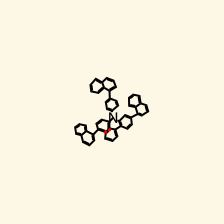 c1ccc(-c2ccc(-c3cccc4ccccc34)cc2N(c2ccc(-c3cccc4ccccc34)cc2)c2ccc(-c3cccc4ccccc34)cc2)cc1